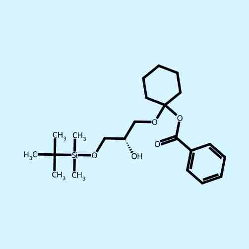 CC(C)(C)[Si](C)(C)OC[C@@H](O)COC1(OC(=O)c2ccccc2)CCCCC1